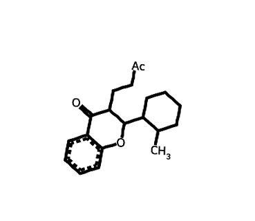 CC(=O)CCC1C(=O)c2ccccc2OC1C1CCCCC1C